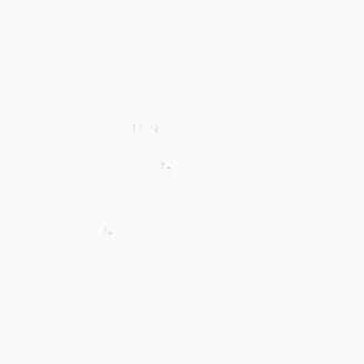 C=CCC(N)NCCCN